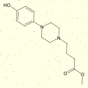 COC(=O)CCCN1CCN(c2ccc(O)cc2)CC1